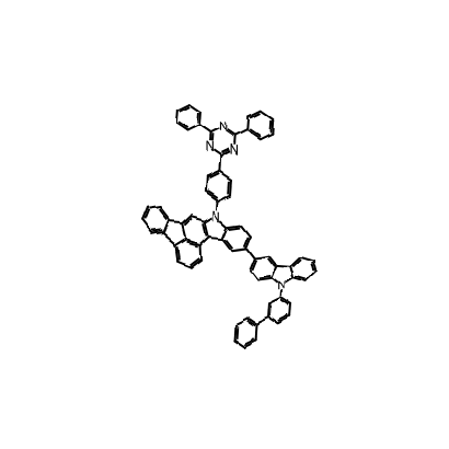 c1ccc(-c2cccc(-n3c4ccccc4c4cc(-c5ccc6c(c5)c5c7cccc8c7c(cc5n6-c5ccc(-c6nc(-c7ccccc7)nc(-c7ccccc7)n6)cc5)-c5ccccc5-8)ccc43)c2)cc1